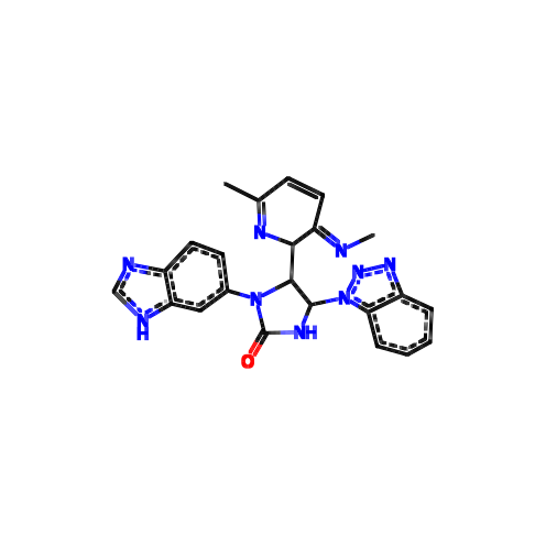 CN=C1C=CC(C)=NC1C1C(n2nnc3ccccc32)NC(=O)N1c1ccc2nc[nH]c2c1